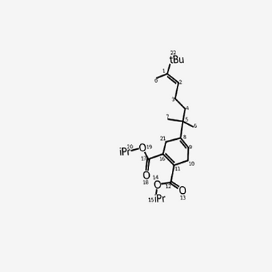 C/C(=C\CCC(C)(C)C1=CCC(C(=O)OC(C)C)=C(C(=O)OC(C)C)C1)C(C)(C)C